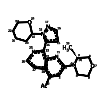 CC(=O)c1cc(N2CCOC[C@H]2C)nc2c(-c3ccnn3C3CCCCO3)nccc12